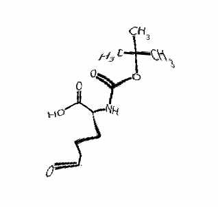 CC(C)(C)OC(=O)N[C@@H](CC[C]=O)C(=O)O